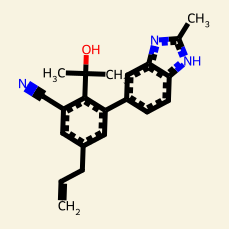 C=CCc1cc(C#N)c(C(C)(C)O)c(-c2ccc3[nH]c(C)nc3c2)c1